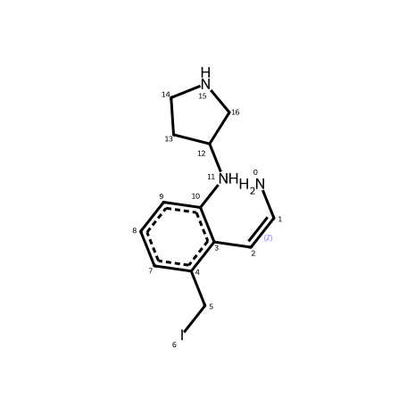 N/C=C\c1c(CI)cccc1NC1CCNC1